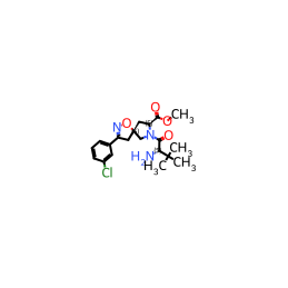 COC(=O)[C@@H]1C[C@]2(CC(c3cccc(Cl)c3)=NO2)CN1C(=O)[C@@H](N)C(C)(C)C